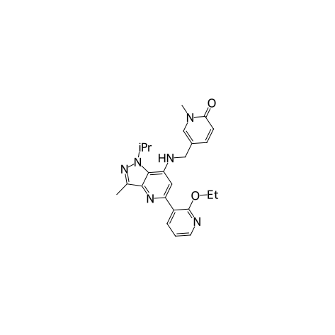 CCOc1ncccc1-c1cc(NCc2ccc(=O)n(C)c2)c2c(n1)c(C)nn2C(C)C